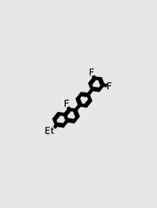 CCc1ccc2c(F)c(-c3ccc(-c4cc(F)cc(F)c4)cc3)ccc2c1